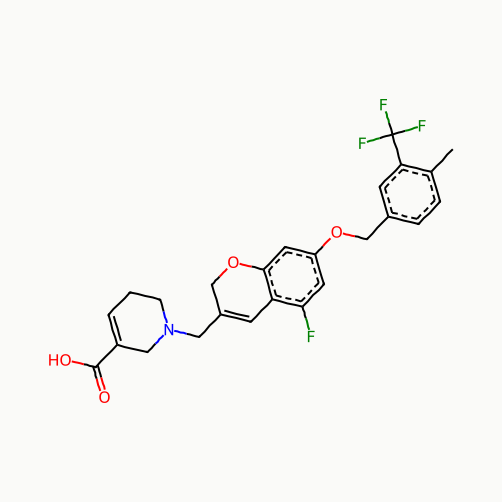 Cc1ccc(COc2cc(F)c3c(c2)OCC(CN2CCC=C(C(=O)O)C2)=C3)cc1C(F)(F)F